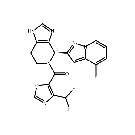 O=C(c1ocnc1C(F)F)N1CCc2[nH]cnc2[C@H]1c1cc2c(F)cccn2n1